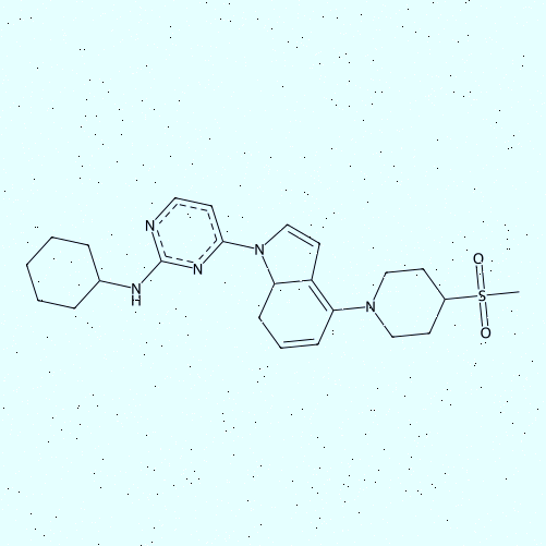 CS(=O)(=O)C1CCN(C2=C3C=CN(c4ccnc(NC5CCCCC5)n4)C3CC=C2)CC1